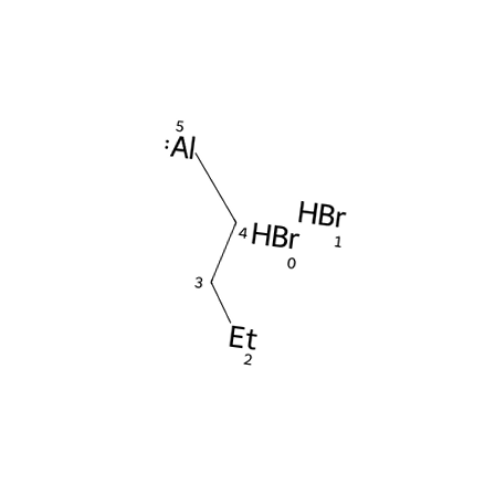 Br.Br.CCC[CH2][Al]